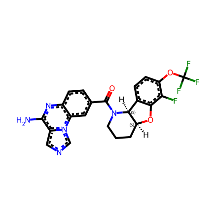 Nc1nc2ccc(C(=O)N3CCC[C@@H]4Oc5c(ccc(OC(F)(F)F)c5F)[C@@H]43)cc2n2cncc12